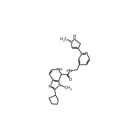 CN1C=C(c2cc(CNC(=O)C3NC=Cc4nc(C5CCCC5)n(C)c43)ccn2)CN1